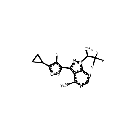 CC(n1nc(-c2noc(C3CC3)c2I)c2c(N)ncnc21)C(F)(F)F